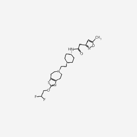 Cc1cc(CC(=O)N[C@H]2CC[C@H](CCN3CCc4nc(OCC(F)F)sc4CC3)CC2)no1